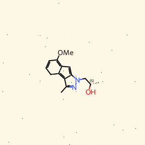 COC1=C2C=c3c(c(C)nn3C[C@H](C)O)=C2CC=C1